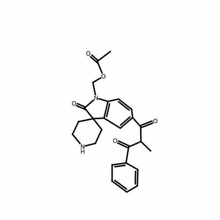 CC(=O)OCN1C(=O)C2(CCNCC2)c2cc(C(=O)C(C)C(=O)c3ccccc3)ccc21